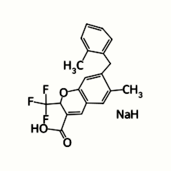 Cc1ccccc1Cc1cc2c(cc1C)C=C(C(=O)O)C(C(F)(F)F)O2.[NaH]